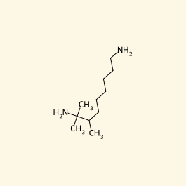 CC(CCCCCCN)C(C)(C)N